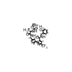 Cc1ccccc1CNC(=O)c1cc(C(F)(F)F)nn1-c1csc(CNC(=O)C(C)NC(=O)OC(C)(C)C)c1